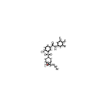 C[C@H]1CC2CC(S(=O)(=O)c3cc(C(=O)Nc4cc(F)c(F)c(F)c4)ccc3Cl)CC1[C@]2(O)CN=[N+]=[N-]